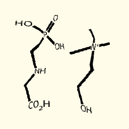 C[N+](C)(C)CCO.O=C(O)CNCP(=O)(O)O